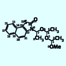 COC(C)OC(C)OC(C)n1c(=O)sc2c3ccccc3ccc21